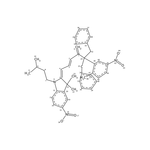 C=C(/C=C/C=C1/N(CCC(C)C)c2ccc([N+](=O)[O-])cc2C1(C)C)C(Cc1ccccc1)(Cc1ccccc1)c1cc([N+](=O)[O-])ccc1C